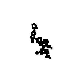 Cc1csc2c(N3NC(N)(c4ccc(C5NCC6CN(C7CC8CCC7C8)CC65)nc4)N=C3N)nc(Cl)nc12